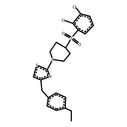 CCc1ccc(Cc2csc(N3CCC(S(=O)(=O)c4cccc(Cl)c4Cl)CC3)n2)cc1